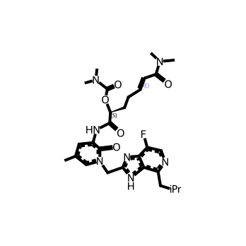 Cc1cc(NC(=O)[C@H](CC/C=C/C(=O)N(C)C)OC(=O)N(C)C)c(=O)n(Cc2nc3c(F)cnc(CC(C)C)c3[nH]2)c1